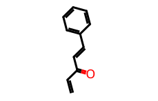 C=CC(=O)/C=C/c1ccccc1